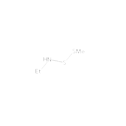 CCNSSC